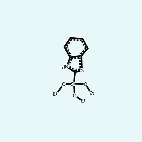 CCO[Si](OCC)(OCC)c1nc2ccccc2[nH]1